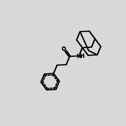 O=C(CCc1ccccc1)NC12CC3CC(CC(C3)C1)C2